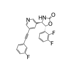 O=C1N[C@H](c2cncc(C#Cc3cccc(F)c3)c2)[C@@H](c2cccc(F)c2F)O1